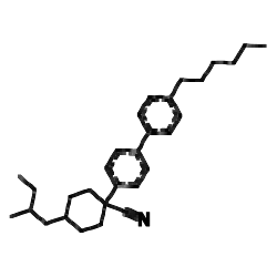 CCCCCCc1ccc(-c2ccc(C3(C#N)CCC(CC(C)CC)CC3)cc2)cc1